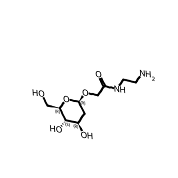 NCCNC(=O)CO[C@H]1C[C@@H](O)[C@H](O)[C@@H](CO)O1